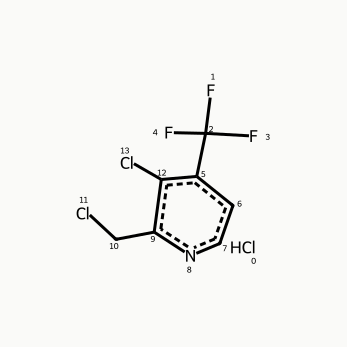 Cl.FC(F)(F)c1ccnc(CCl)c1Cl